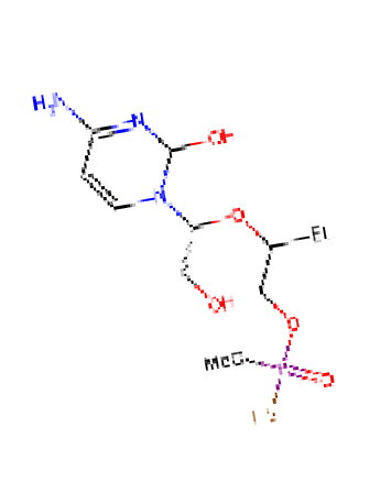 CCC(COP(=O)(S)OC)O[C@H](CO)N1C=CC(N)=NC1O